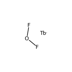 FOF.[Tb]